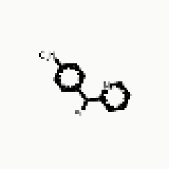 CC[C](c1ccc([N+](=O)[O-])cc1)c1ccccn1